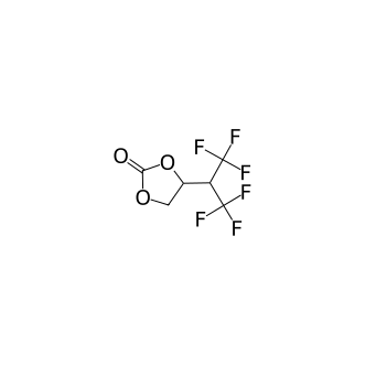 O=C1OCC(C(C(F)(F)F)C(F)(F)F)O1